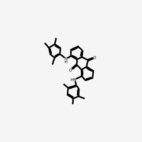 Cc1cc(C)c(Nc2cccc3c2C(=O)c2c(Nc4cc(C)c(C)cc4C)cccc2C3=O)cc1C